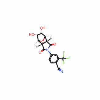 C[C@]12O[C@](C)([C@H](O)[C@@H]1O)[C@H]1C(=O)N(c3ccc(C#N)c(C(F)(F)F)c3)C(=O)[C@H]12